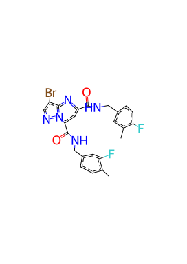 Cc1cc(CNC(=O)c2cc(C(=O)NCc3ccc(C)c(F)c3)n3ncc(Br)c3n2)ccc1F